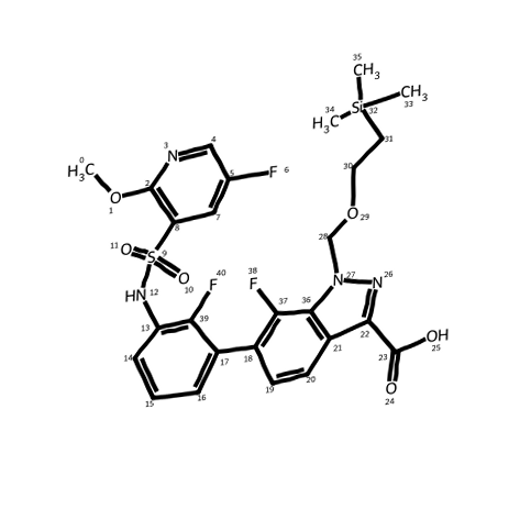 COc1ncc(F)cc1S(=O)(=O)Nc1cccc(-c2ccc3c(C(=O)O)nn(COCC[Si](C)(C)C)c3c2F)c1F